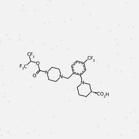 O=C(O)[C@H]1CCCN(c2cc(C(F)(F)F)ccc2CN2CCN(C(=O)OC(C(F)(F)F)C(F)(F)F)CC2)C1